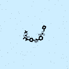 CCC1(NC(=O)OC(C)(C)C)CC1c1ccc(-n2cc(-c3cccc(NC(=O)OCc4ccccc4)c3)nn2)cc1